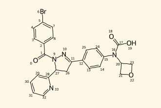 O=C(c1ccc(Br)cc1)N1N=C(c2ccc(N(C(=O)O)C3COC3)cc2)CC1c1ccccn1